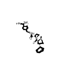 CN1CC[C@H](c2ccccc2)C[C@@H]1C(=O)N1CC[C@H]1C(=O)NCc1ccc(C(=N)N)cc1